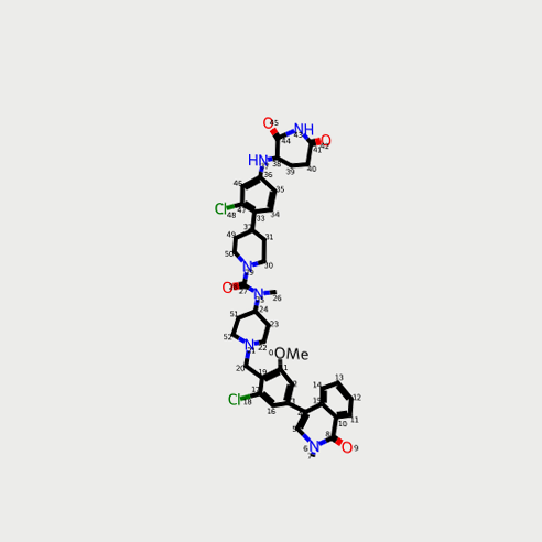 COc1cc(-c2cn(C)c(=O)c3ccccc23)cc(Cl)c1CN1CCC(N(C)C(=O)N2CCC(c3ccc(NC4CCC(=O)NC4=O)cc3Cl)CC2)CC1